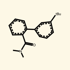 CN(C)C(=O)c1ccccc1-c1cccc(C(C)(C)C)c1